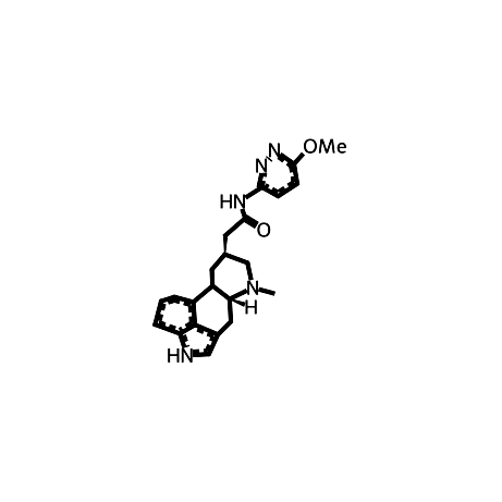 COc1ccc(NC(=O)C[C@@H]2CC3c4cccc5[nH]cc(c45)C[C@H]3N(C)C2)nn1